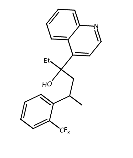 CCC(O)(CC(C)c1ccccc1C(F)(F)F)c1ccnc2ccccc12